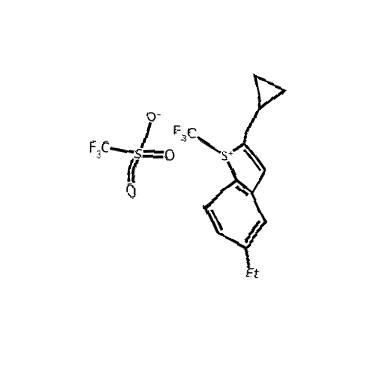 CCc1ccc2c(c1)cc(C1CC1)[s+]2C(F)(F)F.O=S(=O)([O-])C(F)(F)F